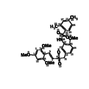 COc1cc(OC)c(/C=C/S(=O)(=O)Cc2ccc(OC)c(NS(=O)(=O)c3ccc(C)cc3C)c2)c(OC)c1